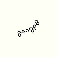 c1ccc2c(-c3ccc(-c4ccc5c(c4)sc4cc6c7c(cccc7c45)Sc4cc(-c5cccc7ccccc57)ccc4-6)cc3)cccc2c1